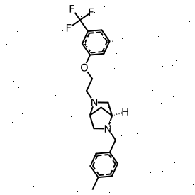 Cc1ccc(CN2CC3C[C@H]2CN3CCOc2c[c]cc(C(F)(F)F)c2)cc1